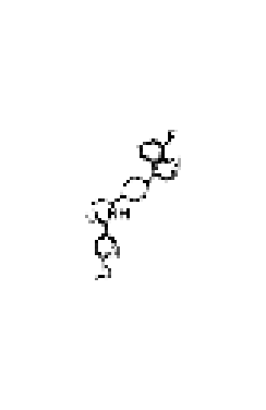 CCC(NC(=O)c1ccc(OC)nc1)C1CCC(c2ccnc3c(F)cccc23)CC1